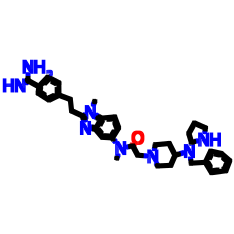 CN(C(=O)CN1CCC(N(Cc2ccccc2)C2CCCN2)CC1)c1ccc2c(c1)nc(CCc1ccc(C(=N)N)cc1)n2C